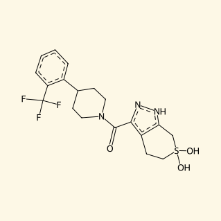 O=C(c1n[nH]c2c1CCS(O)(O)C2)N1CCC(c2ccccc2C(F)(F)F)CC1